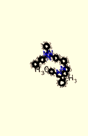 CC1=C=CC(c2cc(C3=C(C)CC=CC=C3)c3ccc4ccc(-c5cccc(-c6ccc(-c7nc(-c8ccccc8)nc(-c8ccc(-c9ccccc9)cc8)n7)cc6)c5)nc4c3n2)=CC1